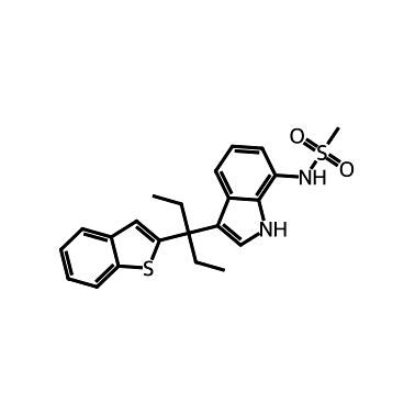 CCC(CC)(c1cc2ccccc2s1)c1c[nH]c2c(NS(C)(=O)=O)cccc12